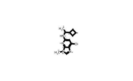 CC(Nc1cc(Cl)c2ncn(C)c2n1)C1CCC1